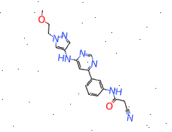 COCCn1cc(Nc2cc(-c3cccc(NC(=O)CC#N)c3)ncn2)cn1